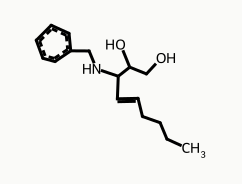 CCCC/C=C/C(NCc1ccccc1)C(O)CO